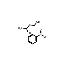 CC(C)CCO.O=[N+]([O-])c1ccccc1